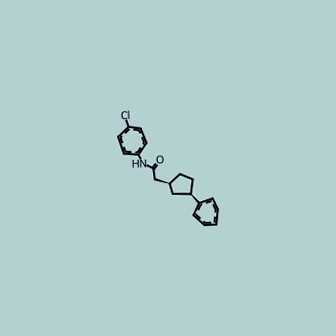 O=C(C[C@H]1CC[C@@H](c2ccccc2)C1)Nc1ccc(Cl)cc1